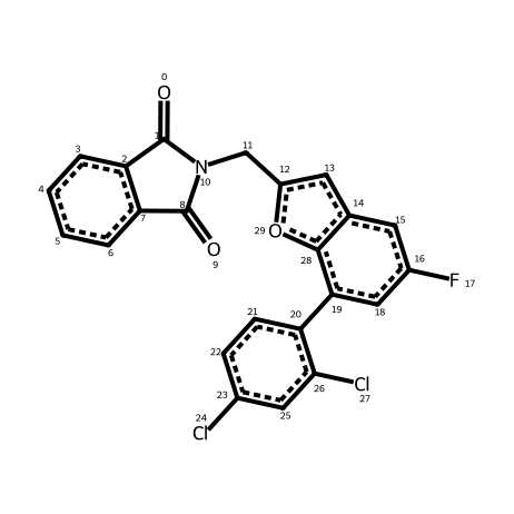 O=C1c2ccccc2C(=O)N1Cc1cc2cc(F)cc(-c3ccc(Cl)cc3Cl)c2o1